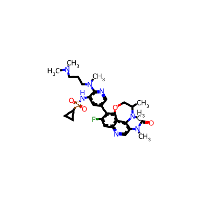 CC1COc2c(-c3cnc(N(C)CCCN(C)C)c(NS(=O)(=O)C4CC4)c3)c(F)cc3ncc(N(C)C=O)c(c23)N1C